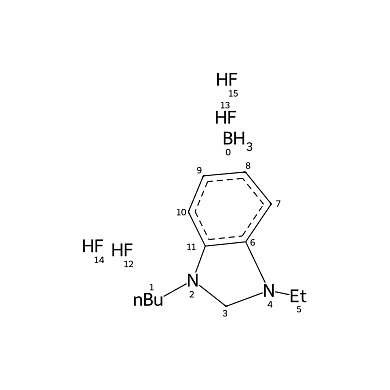 B.CCCCN1CN(CC)c2ccccc21.F.F.F.F